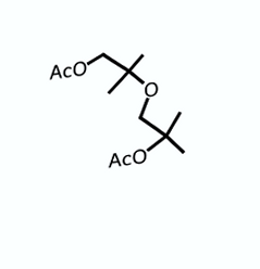 CC(=O)OCC(C)(C)OCC(C)(C)OC(C)=O